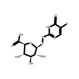 O=C(O)[C@H]1O[C@@H](OOc2ncc(F)c(=O)[nH]2)[C@H](O)[C@@H](O)[C@@H]1O